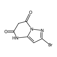 O=C1CC(=O)n2nc(Br)cc2N1